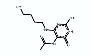 CC(=O)Nc1c(NCCCCO)nc(N)[nH]c1=O